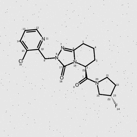 O=C([C@@H]1CCCc2nn(Cc3ncccc3Cl)c(=O)n21)N1CC[C@H](F)C1